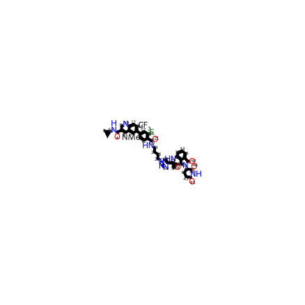 CNc1c(C(=O)NC2CC2)cnc2cc(C(F)(F)F)c(-c3ccc(C(=O)NCCCCn4cc(C5(Nc6cccc7c6C(=O)N(C6CCC(=O)NC6=O)C7=O)CC5)nn4)c(F)c3)cc12